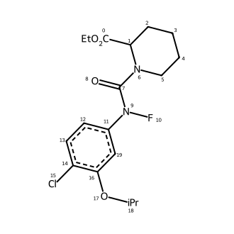 CCOC(=O)C1CCCCN1C(=O)N(F)c1ccc(Cl)c(OC(C)C)c1